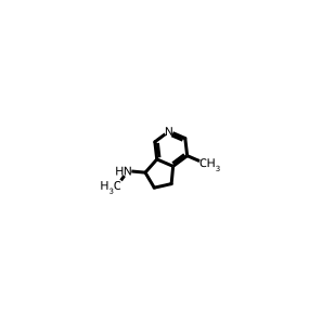 CNC1CCc2c(C)cncc21